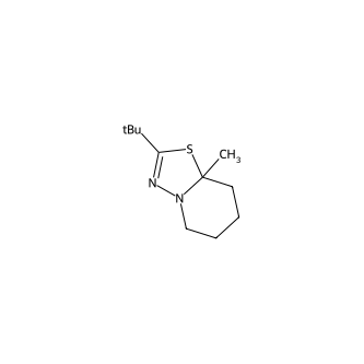 CC(C)(C)C1=NN2CCCCC2(C)S1